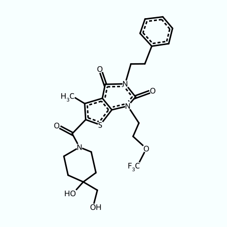 Cc1c(C(=O)N2CCC(O)(CO)CC2)sc2c1c(=O)n(CCc1ccccc1)c(=O)n2CCOC(F)(F)F